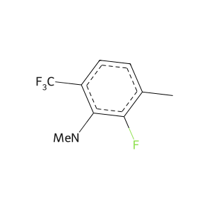 CNc1c(C(F)(F)F)ccc(C)c1F